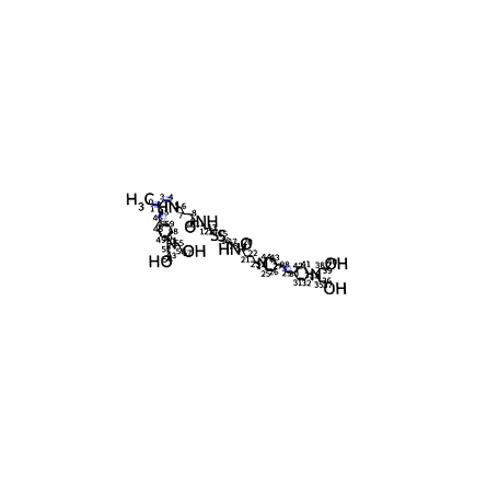 C/C=C(\C=C/NCCCC(=O)NCCSSCCNC(=O)CCC[n+]1ccc(/C=C/c2ccc(N(CCO)CCO)cc2)cc1)/C=C/c1ccc(N(CCO)CCO)cc1